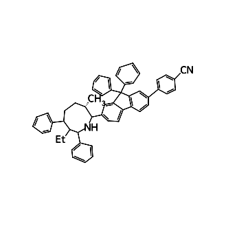 CCC1C(c2ccccc2)CC[C@H](C)C(c2ccc3c(c2)C(c2ccccc2)(c2ccccc2)c2cc(-c4ccc(C#N)cc4)ccc2-3)NC1c1ccccc1